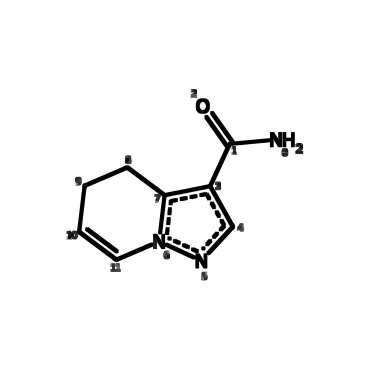 NC(=O)c1cnn2c1CCC=C2